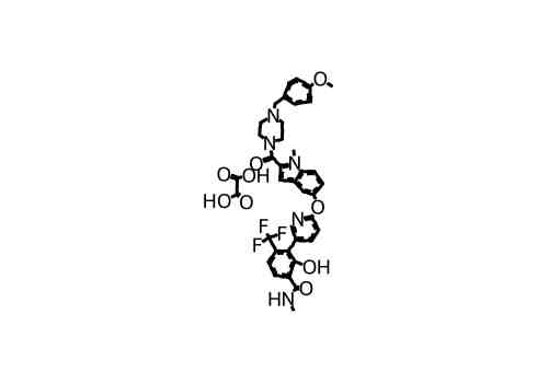 CNC(=O)c1ccc(C(F)(F)F)c(-c2ccc(Oc3ccc4c(c3)cc(C(=O)N3CCN(Cc5ccc(OC)cc5)CC3)n4C)nc2)c1O.O=C(O)C(=O)O